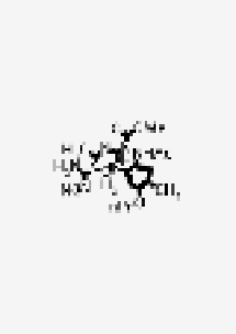 CCCOc1cc(NC(=NC(C)N(C)C(N)=NC#N)NC(=O)OC)c(NC(C)=O)cc1C